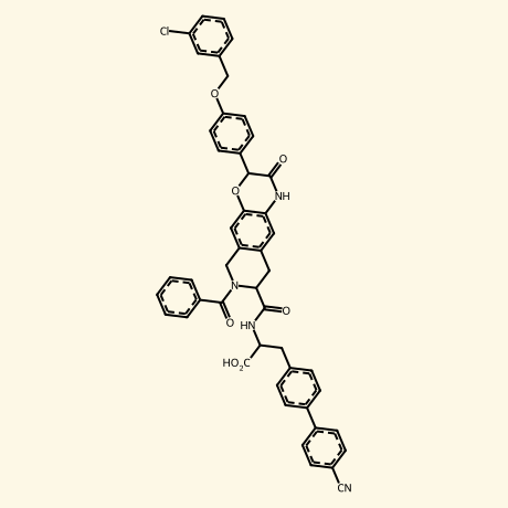 N#Cc1ccc(-c2ccc(CC(NC(=O)C3Cc4cc5c(cc4CN3C(=O)c3ccccc3)OC(c3ccc(OCc4cccc(Cl)c4)cc3)C(=O)N5)C(=O)O)cc2)cc1